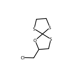 ClCC1CSC2(O1)SCCS2